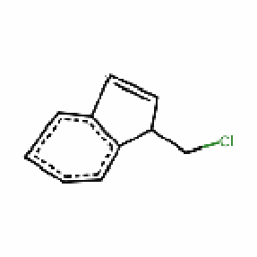 ClCC1C=[C]c2ccccc21